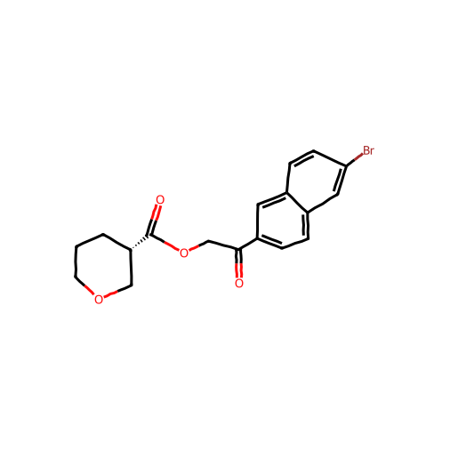 O=C(COC(=O)[C@H]1CCCOC1)c1ccc2cc(Br)ccc2c1